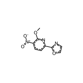 COc1nc(-c2ncco2)ccc1[N+](=O)[O-]